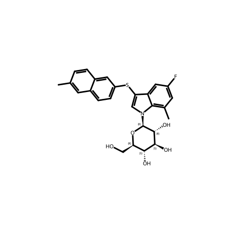 Cc1ccc2cc(Sc3cn([C@@H]4O[C@H](CO)[C@@H](O)[C@H](O)[C@H]4O)c4c(C)cc(F)cc34)ccc2c1